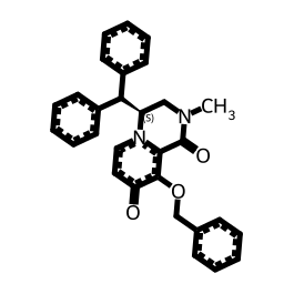 CN1C[C@H](C(c2ccccc2)c2ccccc2)n2ccc(=O)c(OCc3ccccc3)c2C1=O